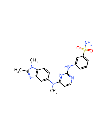 Cc1nc2cc(N(C)c3ccnc(Nc4cccc(S(N)(=O)=O)c4)n3)ccc2n1C